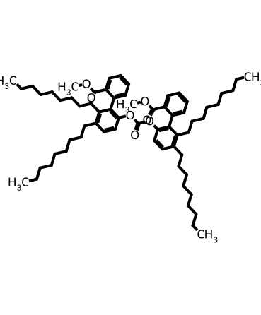 CCCCCCCCCc1ccc(OC(=O)Oc2ccc(CCCCCCCCC)c(CCCCCCCCC)c2-c2ccccc2C(=O)OC)c(-c2ccccc2C(=O)OC)c1CCCCCCCCC